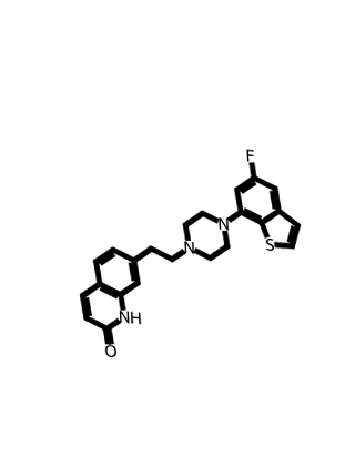 O=c1ccc2ccc(CCN3CCN(c4cc(F)cc5ccsc45)CC3)cc2[nH]1